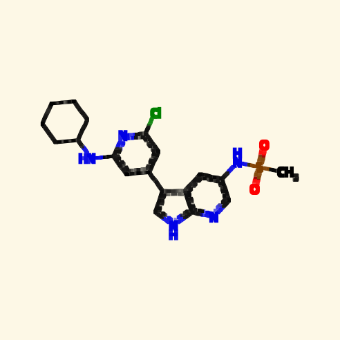 CS(=O)(=O)Nc1cnc2[nH]cc(-c3cc(Cl)nc(NC4CCCCC4)c3)c2c1